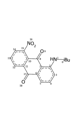 CCC(C)Nc1cccc2c1C(=O)c1c(cccc1[N+](=O)[O-])C2=O